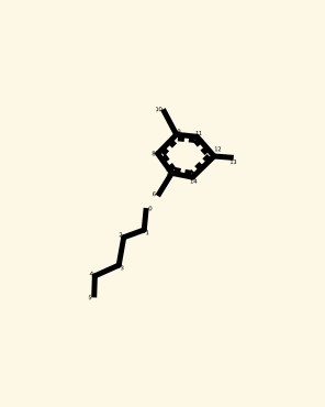 CCCCCC.Cc1cc(C)cc(C)c1